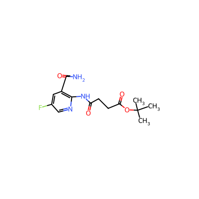 CC(C)(C)OC(=O)CCC(=O)Nc1ncc(F)cc1C(N)=O